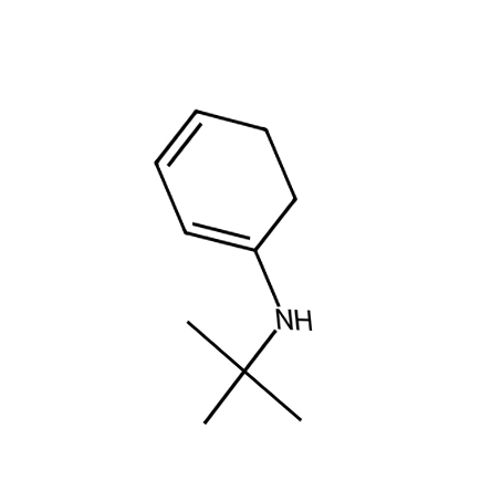 CC(C)(C)NC1=CC=CCC1